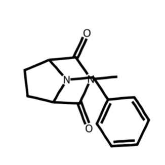 CN1C(=O)C2CCC(C1=O)N2Cc1ccccc1